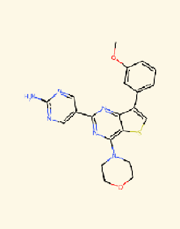 COc1cccc(-c2csc3c(N4CCOCC4)nc(-c4cnc(N)nc4)nc23)c1